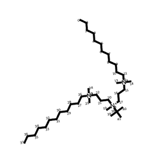 CCCCCCCCCCCC[N+](C)(C)CCC[N+](C)(CCC[N+](C)(C)CCCCCCCCCCCC)C(C)(C)C